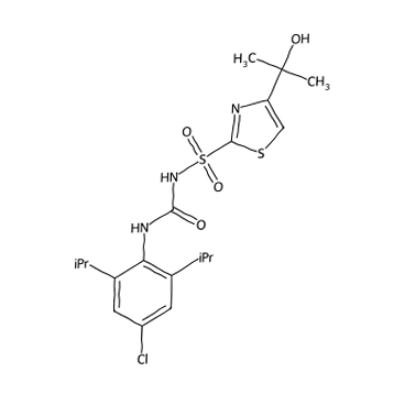 CC(C)c1cc(Cl)cc(C(C)C)c1NC(=O)NS(=O)(=O)c1nc(C(C)(C)O)cs1